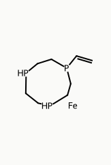 C=CP1CCPCCPCC1.[Fe]